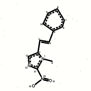 Cn1c(C=Cc2ccccc2)cnc1[N+](=O)[O-]